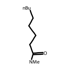 [CH2]CCCCCCCC(=O)NC